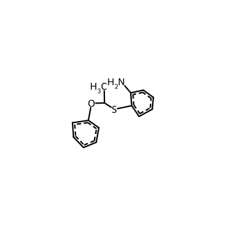 CC(Oc1ccccc1)Sc1ccccc1N